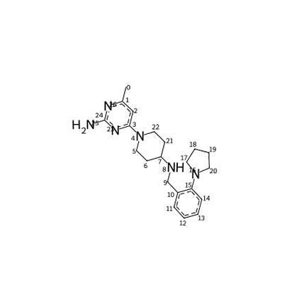 Cc1cc(N2CCC(NCc3ccccc3N3CCCC3)CC2)nc(N)n1